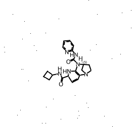 O=C(NC1CCC1)C1C=CC2=C(N1)N(C(=O)Nc1ccccn1)[C@H]1CCN2C1